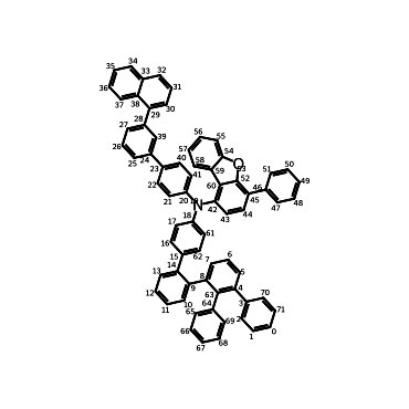 c1ccc(-c2cccc(-c3ccccc3-c3ccc(N(c4ccc(-c5cccc(-c6cccc7ccccc67)c5)cc4)c4ccc(-c5ccccc5)c5oc6ccccc6c45)cc3)c2-c2ccccc2)cc1